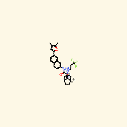 Cc1cc(-c2ccc3ccc(NC(=O)/C=C4\C5CC[C@@H]4C[C@H](NCCC(F)(F)F)C5)cc3c2)oc1C